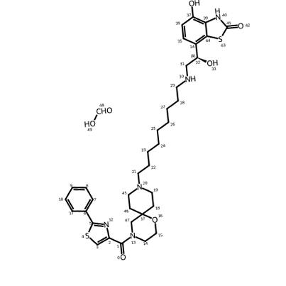 O=C(c1csc(-c2ccccc2)n1)N1CCOC2(CCN(CCCCCCCCCNC[C@H](O)c3ccc(O)c4[nH]c(=O)sc34)CC2)C1.O=CO